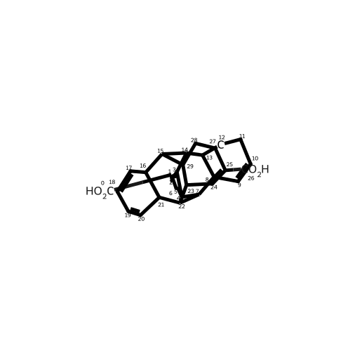 O=C(O)C1=CC2C(CC1)C1C3C=CCCC3C2C2C3C=CC=CC3C1C1C=C(C(=O)O)CCC12